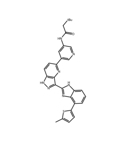 Cc1ccc(-c2cccc3[nH]c(-c4n[nH]c5ccc(-c6cncc(NC(=O)CC(C)(C)C)c6)nc45)nc23)s1